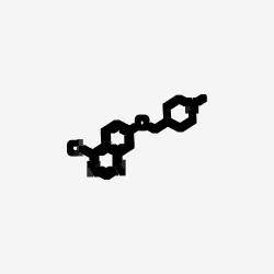 CN1CCC(COc2ccc3c(Cl)ncnc3c2)CC1